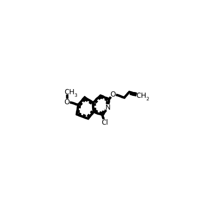 C=CCOc1cc2cc(OC)ccc2c(Cl)n1